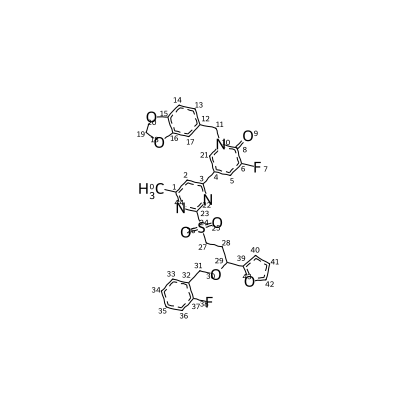 Cc1cc(-c2cc(F)c(=O)n(Cc3ccc4c(c3)OCO4)c2)nc(S(=O)(=O)CCC(OCc2ccccc2F)c2ccco2)n1